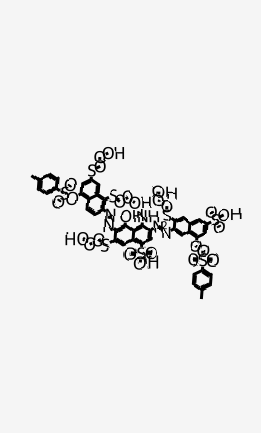 Cc1ccc(S(=O)(=O)OOc2cc(S(=O)(=O)O)cc3cc(SOOO)c(N=Nc4cc(S(=O)(=O)O)c5cc(SOOO)c(N=Nc6ccc7c(OS(=O)(=O)c8ccc(C)cc8)cc(SOOO)cc7c6SOOO)c(O)c5c4N)cc23)cc1